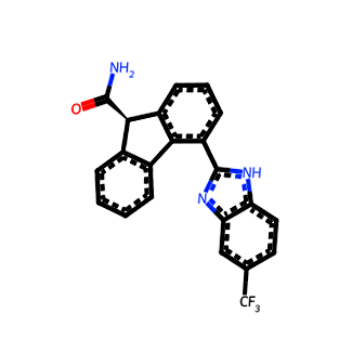 NC(=O)[C@@H]1c2ccccc2-c2c(-c3nc4cc(C(F)(F)F)ccc4[nH]3)cccc21